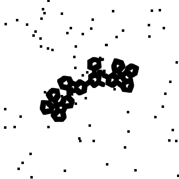 CC1C=C(c2ccc3c(c2)c2ccccc2n3-c2ccc3c(c2)C(c2ccccc2)(c2ccccc2)c2ccccc2-3)C=C(C2=C[C@@H](C)CC=C2)C1Nc1ccc2c(c1)C(c1ccccc1)(c1ccccc1)c1ccccc1-2